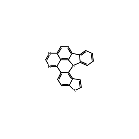 c1ccc2c(c1)c1ccc3ncnc4c5ccc6sccc6c5n2c1c34